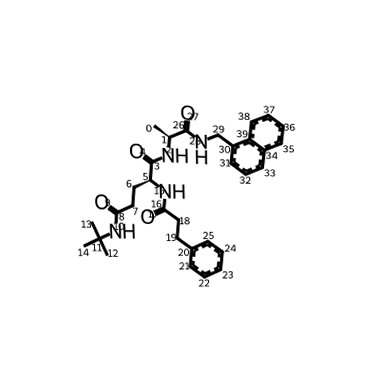 C[C@H](NC(=O)[C@H](CCC(=O)NC(C)(C)C)NC(=O)CCc1ccccc1)C(=O)NCc1cccc2ccccc12